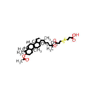 CC(=O)OC1CC[C@]2(C)C3=C(CC[C@H]2C1(C)C)[C@]1(C)CC[C@H]([C@H](C)CCCC(C)(C)OC(=O)CCSSCCC(=O)O)[C@@]1(C)CC3